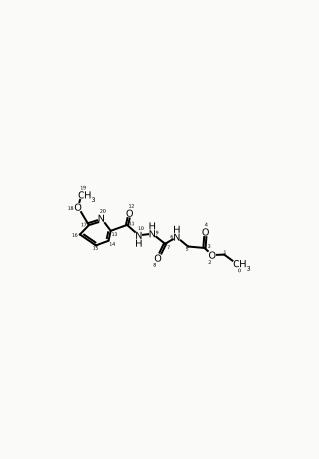 CCOC(=O)CNC(=O)NNC(=O)c1cccc(OC)n1